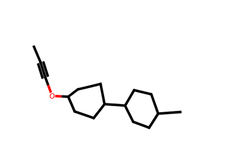 CC#COC1CCC(C2CCC(C)CC2)CC1